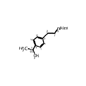 CCCCCCCCc1ccc([C@H](C)O)cc1